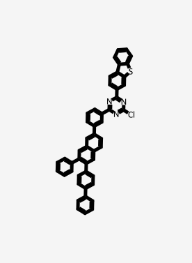 Clc1nc(-c2cccc(-c3ccc4cc(-c5ccc(-c6ccccc6)cc5)c(-c5ccccc5)cc4c3)c2)nc(-c2ccc3c(c2)sc2ccccc23)n1